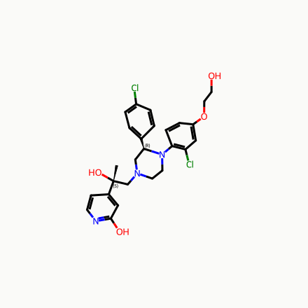 C[C@@](O)(CN1CCN(c2ccc(OCCO)cc2Cl)[C@H](c2ccc(Cl)cc2)C1)c1ccnc(O)c1